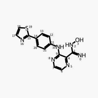 N=C(NO)c1nccnc1Nc1ccc(-c2nccs2)cc1